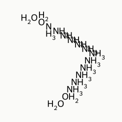 N.N.N.N.N.N.N.N.N.N.N.N.O.O.O.O